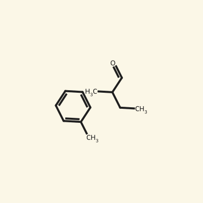 CCC(C)C=O.Cc1ccccc1